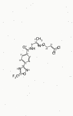 CC(CNC(=O)c1ccc(-c2noc(C(F)(F)F)n2)cc1)=NOCC=C(Cl)Cl